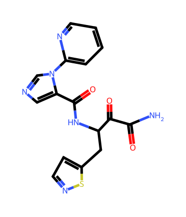 NC(=O)C(=O)C(Cc1ccns1)NC(=O)c1cncn1-c1ccccn1